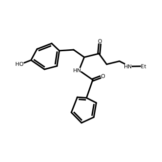 CCNCCC(=O)C(Cc1ccc(O)cc1)NC(=O)c1ccccc1